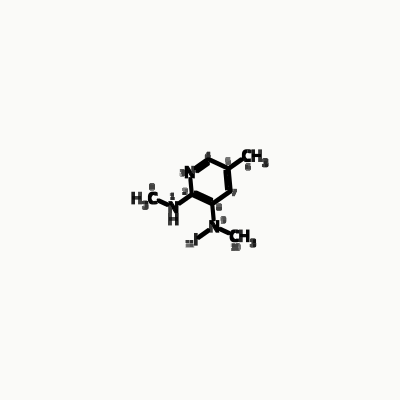 CNc1ncc(C)cc1N(C)I